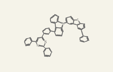 c1ccc(-c2ccc3sc4ccc(-n5c6ccccc6c6c(-c7cccc(-c8cc(-c9ccccc9)nc(-c9ccccc9)n8)c7)cccc65)cc4c3c2)cc1